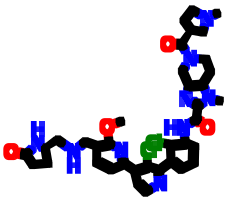 COc1nc(-c2ccnc(-c3cccc(NC(=O)c4nc5c(n4C)CCN(C(=O)[C@H]4CCN(C)C4)C5)c3Cl)c2Cl)ccc1CNC[C@H]1CCC(=O)N1